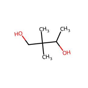 CC(O)C(C)(C)CO